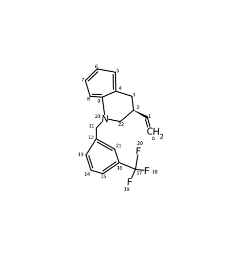 C=C[C@@H]1Cc2ccccc2N(Cc2cccc(C(F)(F)F)c2)C1